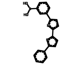 OB(O)c1cccc(-c2ccc(-c3ccc(-c4ccccc4)s3)s2)c1